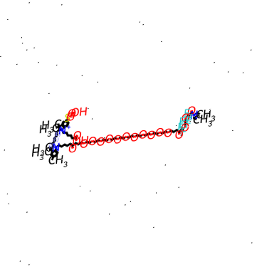 CCN(CC)C(=O)C(F)(F)OC(F)(F)C(F)(F)OC(F)(F)C(=O)CCCOCCOCCOCCOCCOCCOCCOCCOCCOCCOCCOCCCC(=O)CCCCCN1\C(=C/C=C/C=C/C2=[N+](CCCCCC(=O)O)c3ccc(SOOO)cc3C2(C)C)C(C)(C)c2cc(C)ccc21